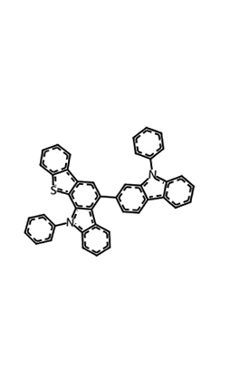 c1ccc(-n2c3ccccc3c3ccc(-c4cc5c6ccccc6sc5c5c4c4ccccc4n5-c4ccccc4)cc32)cc1